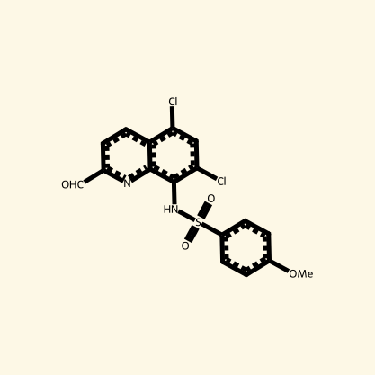 COc1ccc(S(=O)(=O)Nc2c(Cl)cc(Cl)c3ccc(C=O)nc23)cc1